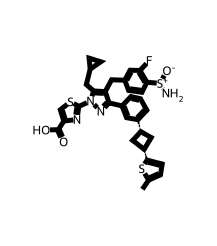 Cc1ccc([C@H]2C[C@@H](c3cccc(-c4nn(-c5nc(C(=O)O)cs5)c(CC5CC5)c4Cc4ccc([S+](N)[O-])c(F)c4)c3)C2)s1